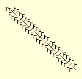 CC(C)C(F)(F)C(F)(F)C(F)(F)C(F)(F)C(F)(F)C(F)(F)C(F)(F)C(F)(F)C(F)(F)C(F)(F)C(F)(F)C(F)(F)C(F)(F)C(F)(F)C(F)(F)C(F)(F)C(F)(F)C(F)(F)C(F)(F)C(F)(F)C(F)(F)C(F)(F)C(C)(F)F